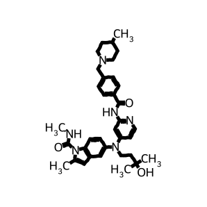 CNC(=O)n1c(C)cc2cc(N(CCC(C)(C)O)c3ccnc(NC(=O)c4ccc(CN5CCC(C)CC5)cc4)c3)ccc21